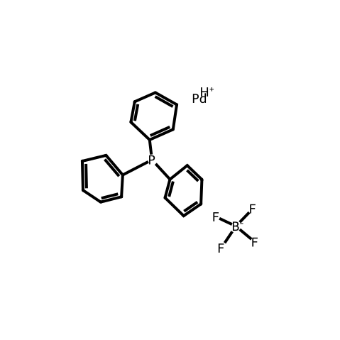 F[B-](F)(F)F.[H+].[Pd].c1ccc(P(c2ccccc2)c2ccccc2)cc1